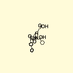 O=C(O)CCCCCCC1C(=O)N(Cc2ccc(-c3ccccc3)cc2)C(=O)N1NCC(O)C1CCCCC1